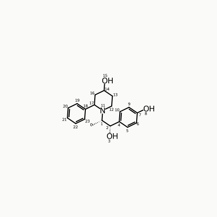 C[C@@H]([C@@H](O)c1ccc(O)cc1)N1CCC(O)CC1c1ccccc1